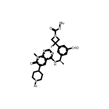 CC(=O)N1CCC(c2cc3c(N[C@H](C)c4cc(C=O)cc(C5(F)CN(C(=O)OC(C)(C)C)C5)c4)ncnc3n(C)c2=O)CC1